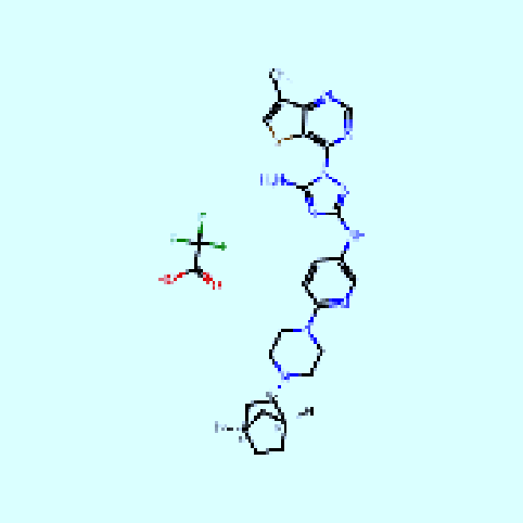 Cc1csc2c(-n3nc(Nc4ccc(N5CCN([C@H]6C[C@@H]7CC[C@H]6C7)CC5)nc4)nc3N)ncnc12.O=C(O)C(F)(F)F